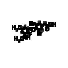 CNc1cc(C)cc(COc2c(Br)cc(CC(=O)O)cc2Br)c1F